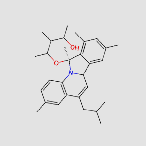 Cc1ccc2c(c1)C(CC(C)C)=CC1c3cc(C)cc(C)c3[C@](C)(OC(C)C(C)C(C)O)N21